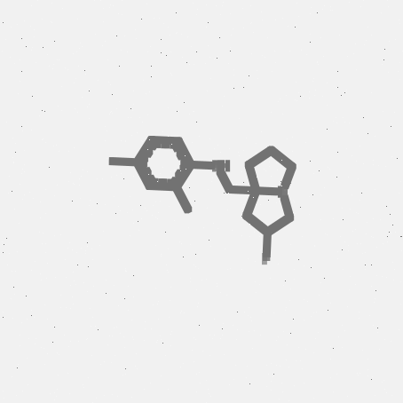 Cc1ccc(NCC23CCCN2CC(F)C3)c(C)c1